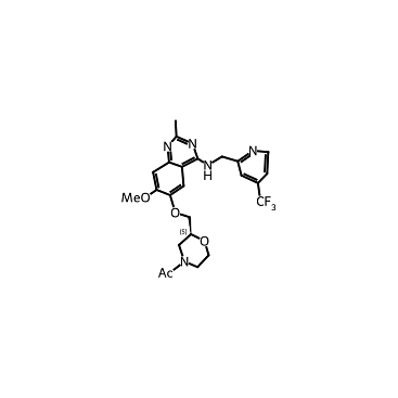 COc1cc2nc(C)nc(NCc3cc(C(F)(F)F)ccn3)c2cc1OC[C@@H]1CN(C(C)=O)CCO1